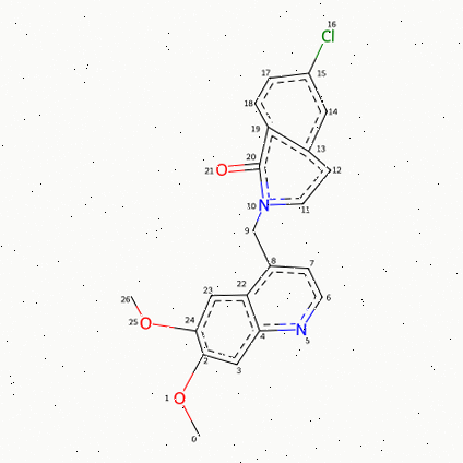 COc1cc2nccc(Cn3ccc4cc(Cl)ccc4c3=O)c2cc1OC